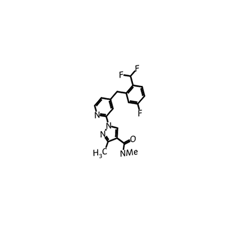 CNC(=O)c1cn(-c2cc(Cc3cc(F)ccc3C(F)F)ccn2)nc1C